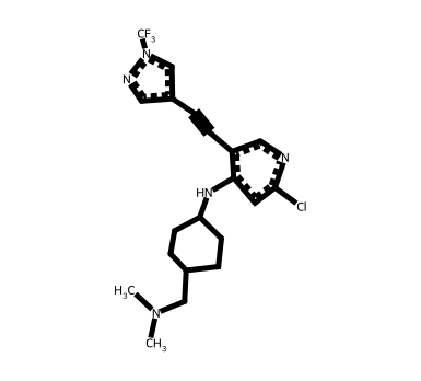 CN(C)CC1CCC(Nc2cc(Cl)ncc2C#Cc2cnn(C(F)(F)F)c2)CC1